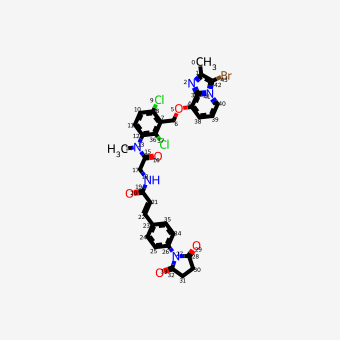 Cc1nc2c(OCc3c(Cl)ccc(N(C)C(=O)CNC(=O)C=Cc4ccc(N5C(=O)CCC5=O)cc4)c3Cl)cccn2c1Br